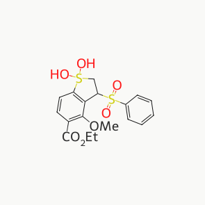 CCOC(=O)c1ccc2c(c1OC)C(S(=O)(=O)c1ccccc1)CS2(O)O